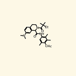 CCC(C)(C)C(=O)N1CCc2ccc(N(C)C)cc2C1C(=O)Nc1cc(C)c(OC(C)=O)c(C)c1C